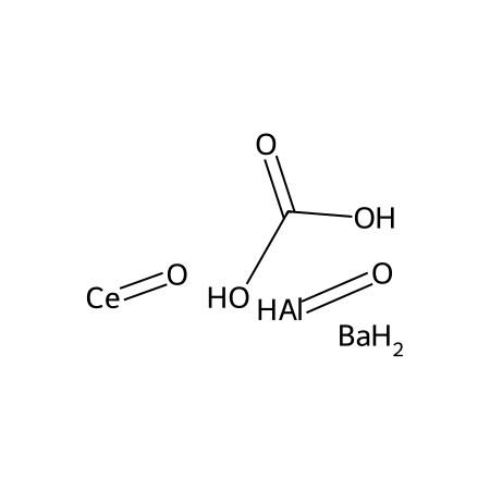 O=C(O)O.[BaH2].[O]=[AlH].[O]=[Ce]